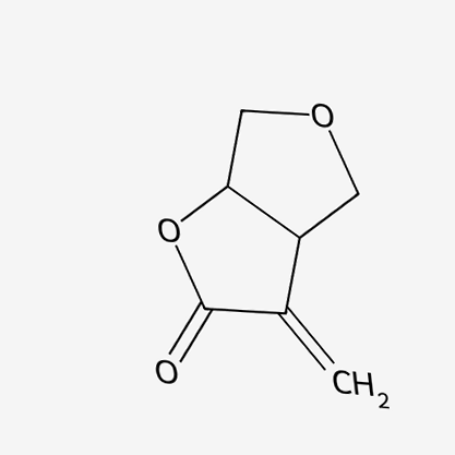 C=C1C(=O)OC2COCC12